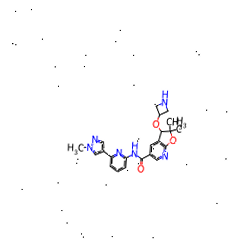 Cn1cc(-c2cccc(NC(=O)c3cnc4c(c3)C(OC3CNC3)C(C)(C)O4)n2)cn1